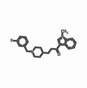 Cn1cc(C(=O)CCC2CCN(Cc3cccc(F)c3)CC2)c2ccccc21